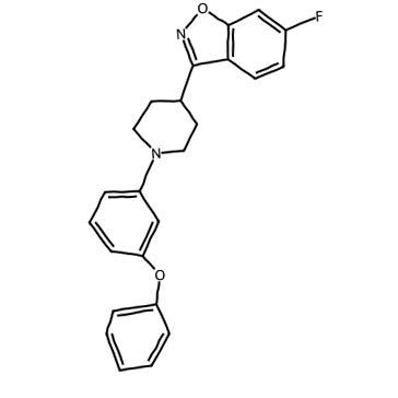 Fc1ccc2c(C3CCN(c4cccc(Oc5ccccc5)c4)CC3)noc2c1